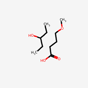 CCC(O)CC.COCCCC(=O)O